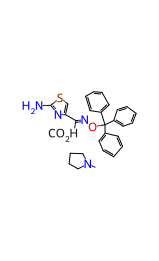 CN1CCCC1.Nc1nc(/C(=N/OC(c2ccccc2)(c2ccccc2)c2ccccc2)C(=O)O)cs1